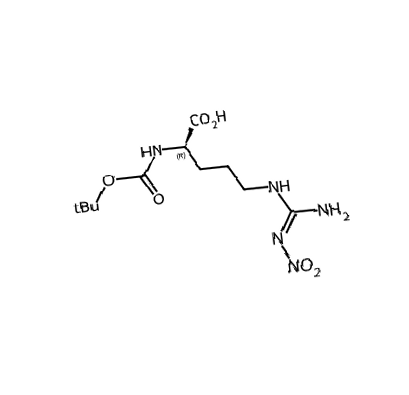 CC(C)(C)OC(=O)N[C@H](CCCNC(N)=N[N+](=O)[O-])C(=O)O